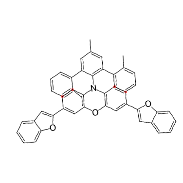 Cc1cc(-c2ccccc2C)c(N2c3ccc(-c4cc5ccccc5o4)cc3Oc3cc(-c4cc5ccccc5o4)ccc32)c(-c2ccccc2C)c1